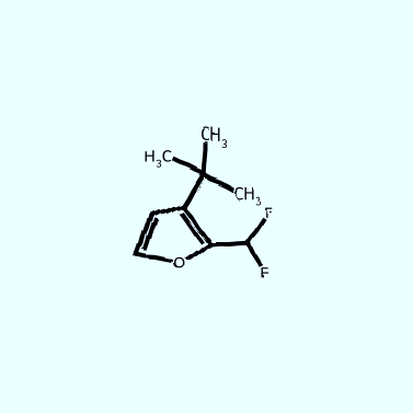 CC(C)(C)c1ccoc1C(F)F